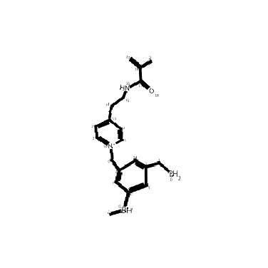 BCc1cc(BC)cc(C[n+]2ccc(CCNC(=O)C(=C)C)cc2)c1